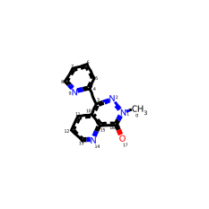 Cn1nc(-c2ccccn2)c2cccnc2c1=O